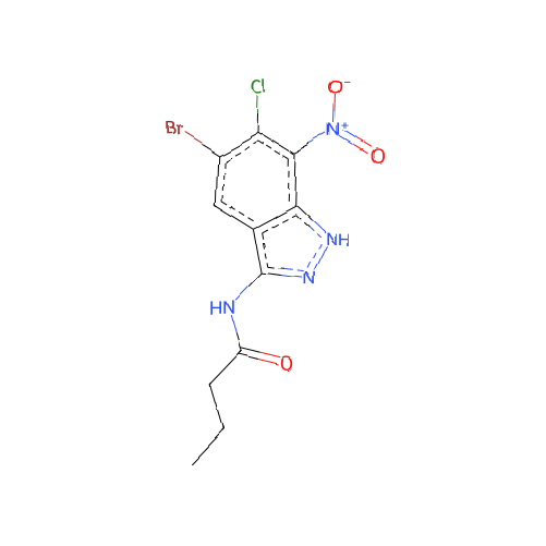 CCCC(=O)Nc1n[nH]c2c([N+](=O)[O-])c(Cl)c(Br)cc12